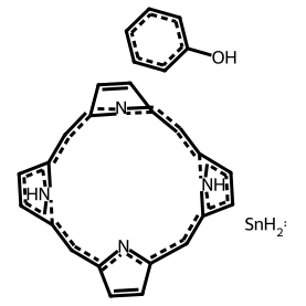 C1=Cc2cc3ccc(cc4nc(cc5ccc(cc1n2)[nH]5)C=C4)[nH]3.Oc1ccccc1.[SnH2]